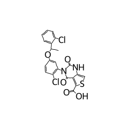 CC(Oc1ccc(Cl)c(-n2c(=O)[nH]c3csc(C(=O)O)c3c2=O)c1)c1ccccc1Cl